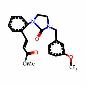 COC(=O)/C=C/c1ccccc1N1CCN(Cc2cccc(OC(F)(F)F)c2)C1=O